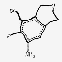 Nc1cc2c(c(Br)c1F)COC2